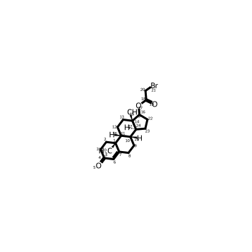 C[C@]12CCC(=O)C=C1CC[C@@H]1[C@H]2CC[C@]2(C)C(OC(=O)CBr)CC[C@@H]12